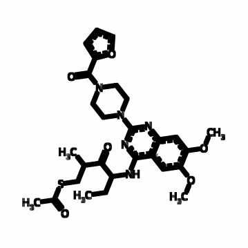 CCC(Nc1nc(N2CCN(C(=O)c3ccco3)CC2)nc2cc(OC)c(OC)cc12)C(=O)C(C)CSC(C)=O